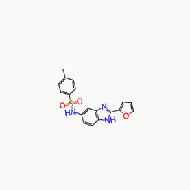 Cc1ccc(S(=O)(=O)Nc2ccc3[nH]c(-c4ccco4)nc3c2)cc1